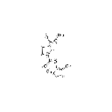 CC(C)(C)OC(=O)N1CC[C@H](C(=O)ON2C(=O)CCC2=O)C1